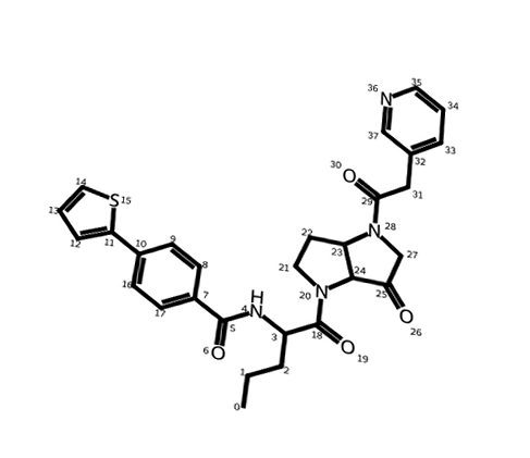 CCCC(NC(=O)c1ccc(-c2cccs2)cc1)C(=O)N1CCC2C1C(=O)CN2C(=O)Cc1cccnc1